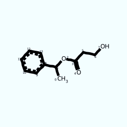 CC(OC(=O)CCO)c1ccccc1